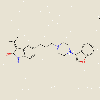 CC(C)=C1C(=O)Nc2ccc(CCCN3CCN(c4coc5ccccc45)CC3)cc21